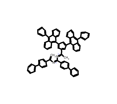 C=C(/N=C(\N=C(/C)c1cc(-c2c3ccccc3c(-c3ccccc3)c3ccccc23)cc(-c2c3ccccc3c(-c3ccccc3)c3ccccc23)c1)c1ccc(-c2ccccc2)cc1)c1ccc(-c2ccccc2)cc1